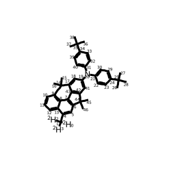 [2H]C([2H])([2H])c1cc2c3c4c(cccc14)C(C)(C)c1cc(N(c4ccc(C(C)(C)C)cc4)c4ccc(C(C)(C)C)cc4)cc(c1-3)C2(C)C